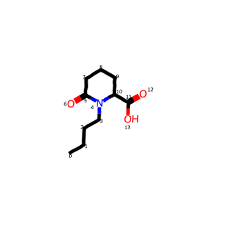 CCCCN1C(=O)CCCC1C(=O)O